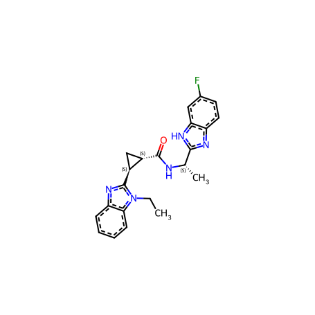 CCn1c([C@H]2C[C@@H]2C(=O)N[C@@H](C)c2nc3ccc(F)cc3[nH]2)nc2ccccc21